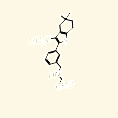 CC1(C)CCc2sc(-c3cccc(CNCC=O)c3)c(C(=O)O)c2C1